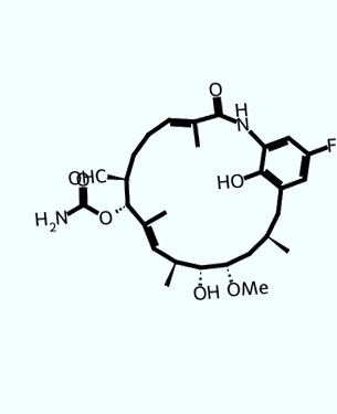 CO[C@H]1C[C@H](C)Cc2cc(F)cc(c2O)NC(=O)/C(C)=C/CC[C@H](C=O)[C@@H](OC(N)=O)/C(C)=C/[C@H](C)[C@H]1O